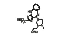 COCC[C@H]1CN(C2=Nc3ccccc3Nc3sc(C(F)(F)F)nc32)CCN1C.Cl.Cl